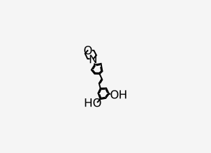 Oc1cc(O)cc(C=Cc2ccc(N3CCOCC3)cc2)c1